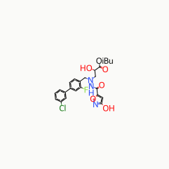 CC(C)COC(=O)C(O)CN(Cc1ccc(-c2cccc(Cl)c2)cc1F)NC(=O)c1cc(O)no1